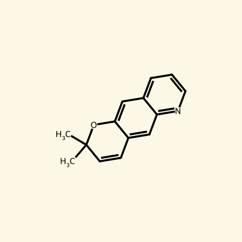 CC1(C)C=Cc2cc3ncccc3cc2O1